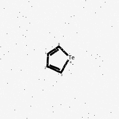 [c]1ccc[te]1